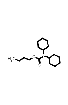 CCCCOC(=O)N(C1CCCCC1)C1CCCCC1